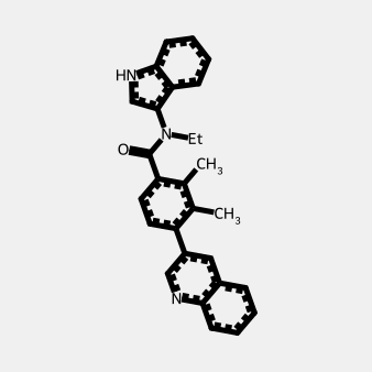 CCN(C(=O)c1ccc(-c2cnc3ccccc3c2)c(C)c1C)c1c[nH]c2ccccc12